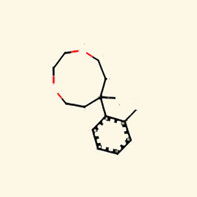 CC(C)c1ccccc1C1(C(=O)O)CCOCCOCC1